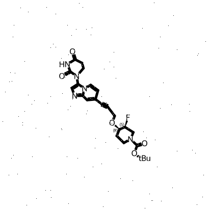 CC(C)(C)OC(=O)N1CC[C@@H](OCC#Cc2ccn3c(N4CCC(=O)NC4=O)cnc3c2)[C@@H](F)C1